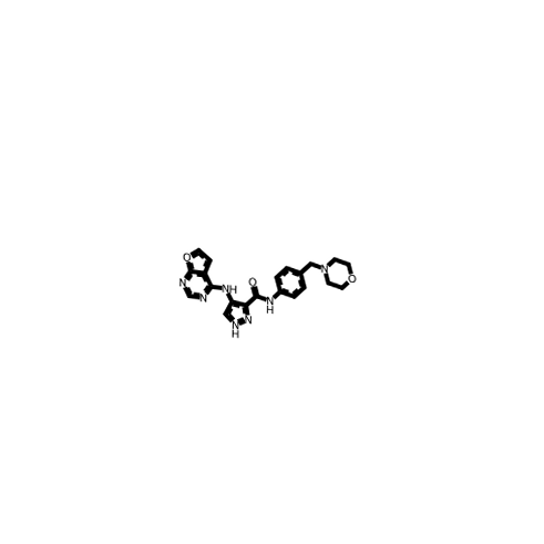 O=C(Nc1ccc(CN2CCOCC2)cc1)c1n[nH]cc1Nc1ncnc2occc12